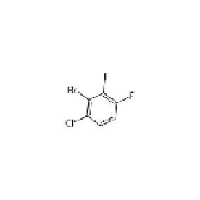 Fc1ccc(Cl)c(Br)c1I